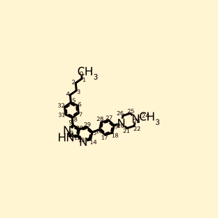 CCCCCc1ccc(-c2n[nH]c3ncc(-c4ccc(N5CCN(C)CC5)cc4)cc23)cc1